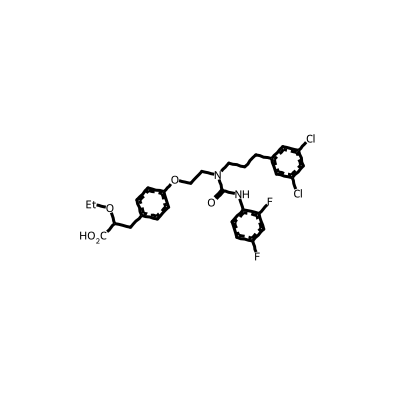 CCOC(Cc1ccc(OCCN(CCCc2cc(Cl)cc(Cl)c2)C(=O)Nc2ccc(F)cc2F)cc1)C(=O)O